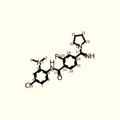 CN(C)c1cc(Cl)ccc1NC(=O)c1ccc(C(=N)N2CCCC2)cc1F